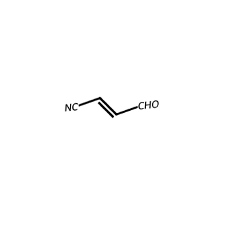 N#CC=CC=O